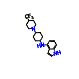 FC(F)(F)C1CCN(C2CCC(Nc3cccc4[nH]ccc34)CC2)CC1